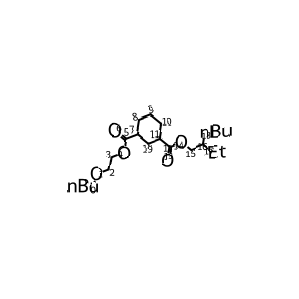 CCCCOCCOC(=O)C1CCCC(C(=O)OCC(CC)CCCC)C1